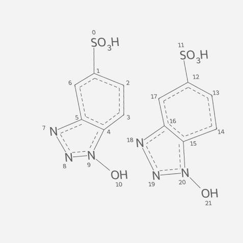 O=S(=O)(O)c1ccc2c(c1)nnn2O.O=S(=O)(O)c1ccc2c(c1)nnn2O